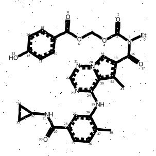 CCN(C(=O)OCOC(=O)c1ccc(O)cc1)C(=O)c1cn2ncnc(Nc3cc(C(=O)NC4CC4)ccc3C)c2c1C